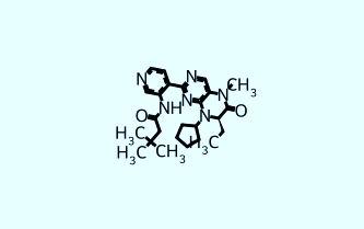 CC[C@@H]1C(=O)N(C)c2cnc(-c3ccncc3NC(=O)CC(C)(C)C)nc2N1C1CCCC1